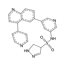 O=S(=O)(Nc1cncc(-c2ccc3nccc(-c4ccncc4)c3c2)c1)C1C=NNC1